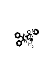 Nc1nc(-c2ccccc2)c(-c2ccccc2)nc1C(=O)Nc1ccccn1